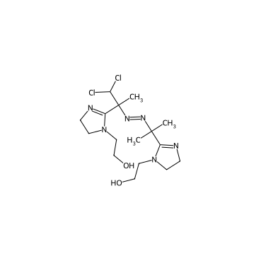 CC(C)(N=NC(C)(C1=NCCN1CCO)C(Cl)Cl)C1=NCCN1CCO